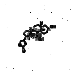 C[C@]12CC[C@@H](O)C[C@H]1CC[C@@H]1[C@@H]2[C@H](O)C[C@]2(C)[C@@H](C3=CC(=O)OC3)CC[C@]12O